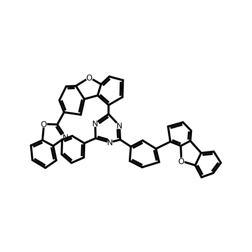 c1ccc(-c2nc(-c3cccc(-c4cccc5c4oc4ccccc45)c3)nc(-c3cccc4oc5ccc(-c6nc7ccccc7o6)cc5c34)n2)cc1